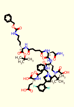 CC(C)(C)OC(=O)[C@H](CCCCNC(=O)OCc1ccccc1)NC(=O)CCCC(=O)N[C@@H](CC(N)=O)C(=O)N[C@@H](CCN(C(=O)CO)[C@@H](c1cc(-c2cc(F)ccc2F)cn1Cc1ccccc1)C(C)(C)C)C(=O)NCCC(=O)N[C@H](CCC(=O)O)C(=O)O